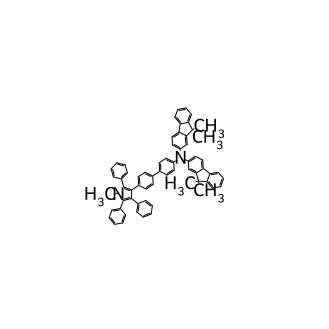 Cn1c(-c2ccccc2)c(-c2ccccc2)c(-c2ccc(-c3ccc(N(c4ccc5c(c4)C(C)(C)c4ccccc4-5)c4ccc5c(c4)C(C)(C)c4ccccc4-5)cc3)cc2)c1-c1ccccc1